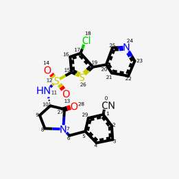 N#Cc1cccc(CN2CC[C@H](NS(=O)(=O)c3cc(Cl)c(-c4cccnc4)s3)C2=O)c1